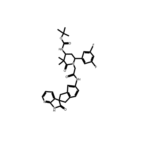 CC(C)(C)OC(=O)NC1CC(c2cc(F)cc(F)c2)N(CC(=O)Nc2ccc3c(c2)CC2(C3)C(=O)Nc3ncccc32)C(=O)C1(C)C